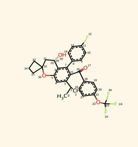 CC(C)c1cc2c(c(-c3ccc(F)cc3)c1C(=O)c1ccc(OC(F)(F)F)cc1)[C@@H](O)CC1(CCC1)O2